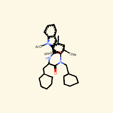 COc1cc(C)cc(OC)c1N(CC1CCCCC1)C(=O)C(CC1CCCCC1)NC(=O)c1cc2ccccc2n1OC(C)=O